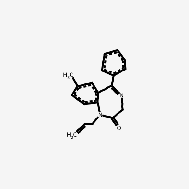 C=CCN1C(=O)CN=C(c2ccccc2)c2cc(C)ccc21